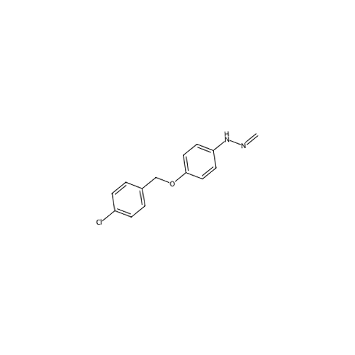 C=NNc1ccc(OCc2ccc(Cl)cc2)cc1